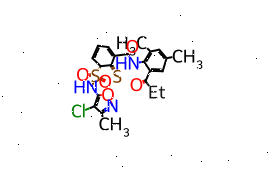 CCC(=O)c1cc(C)cc(C)c1NC(=O)C1=CC=CC(S(=O)(=O)Nc2onc(C)c2Cl)C1=S